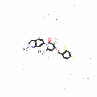 CC(=O)N1CCc2ccc(-n3c(C)cc(OCc4ccc(F)cc4F)c(Cl)c3=O)cc2C1